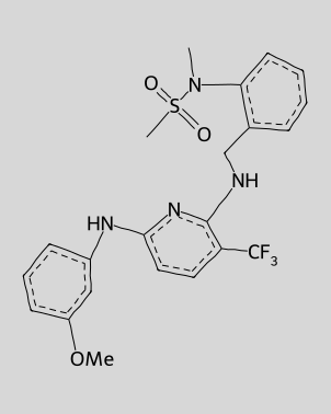 COc1cccc(Nc2ccc(C(F)(F)F)c(NCc3ccccc3N(C)S(C)(=O)=O)n2)c1